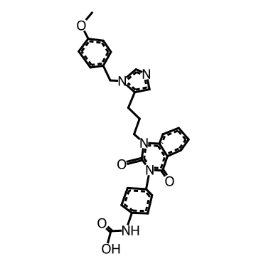 COc1ccc(Cn2cncc2CCCn2c(=O)n(-c3ccc(NC(=O)O)cc3)c(=O)c3ccccc32)cc1